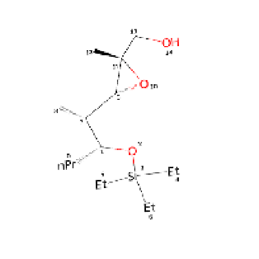 CCC[C@@H](O[Si](CC)(CC)CC)[C@H](C)[C@H]1O[C@@]1(C)CO